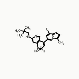 Cc1cnc2c(F)cc(C3=C[C@@H]4NC4c4nc(NCC(C)(C)C)ncc43)cn12